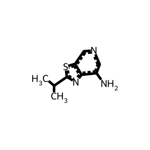 CC(C)c1nc2c(N)cncc2s1